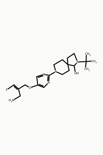 CC(C)(C)N1CCC2(CCN(c3ncc(OC/C(=C/F)CN)cn3)CC2)C1O